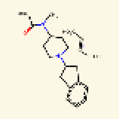 CC(C)COC(=O)N(C)C1CCN(C2Cc3ccccc3C2)CC1.O=C(O)/C=C/C(=O)O